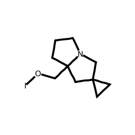 IOCC12CCCN1CC1(CC1)C2